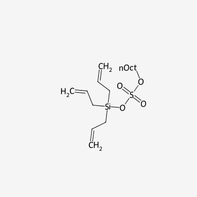 C=CC[Si](CC=C)(CC=C)OS(=O)(=O)OCCCCCCCC